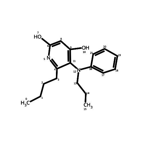 CCCCc1nc(O)[c]c(O)c1N(CCC)c1ccccc1